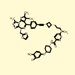 Cc1sc2c(c1C)C(c1ccc(C#C[C@H]3C[C@@H](CCCN(C)c4ccc(C(=O)N[C@H]5CC[C@H](Oc6ccc(C#N)c(Cl)c6)CC5)nn4)C3)cc1)=N[C@@H](Cc1ncco1)c1nnc(C)n1-2